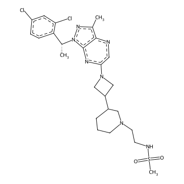 Cc1nn([C@H](C)c2ccc(Cl)cc2Cl)c2nc(N3CC(C4CCCN(CCNS(C)(=O)=O)C4)C3)cnc12